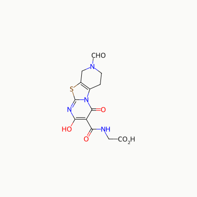 O=CN1CCc2c(sc3nc(O)c(C(=O)NCC(=O)O)c(=O)n23)C1